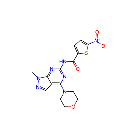 Cn1ncc2c(N3CCOCC3)nc(NC(=O)c3ccc([N+](=O)[O-])s3)nc21